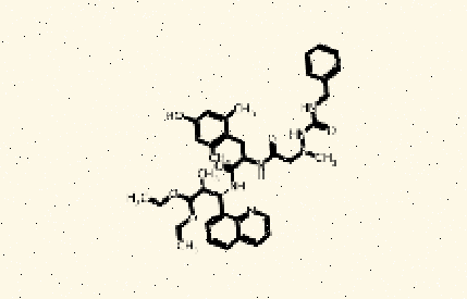 CCOC(OCC)[C@@H](C)[C@H](NC(=O)C(Cc1c(C)cc(O)cc1C)NC(=O)CN(C)NC(=O)NCc1ccccc1)c1cccc2cccnc12